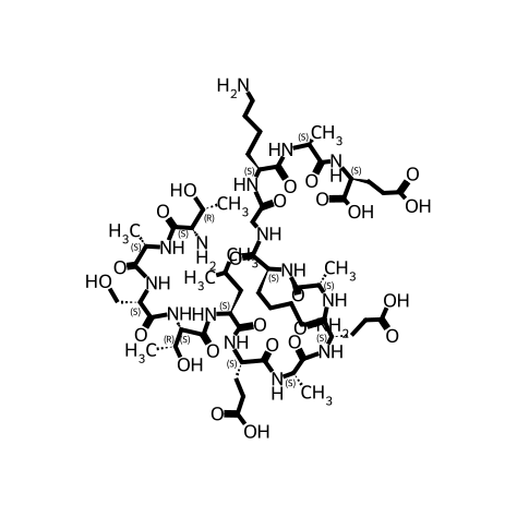 CC(C)C[C@H](NC(=O)[C@@H](NC(=O)[C@H](CO)NC(=O)[C@H](C)NC(=O)[C@@H](N)[C@@H](C)O)[C@@H](C)O)C(=O)N[C@@H](CCC(=O)O)C(=O)N[C@@H](C)C(=O)N[C@@H](CCC(=O)O)C(=O)N[C@@H](C)C(=O)N[C@@H](CCCCN)C(=O)NCC(=O)N[C@@H](CCCCN)C(=O)N[C@@H](C)C(=O)N[C@@H](CCC(=O)O)C(=O)O